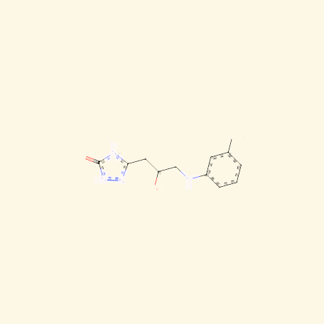 Cc1cccc(NCC(O)Cc2n[nH]c(=O)[nH]2)c1